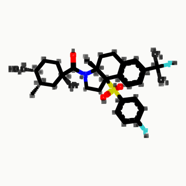 CCC[C@]1(C(=O)N2CC[C@@]3(S(=O)(=O)c4ccc(F)cc4)c4ccc(C(F)(C(F)(F)F)C(F)(F)F)cc4CC[C@@H]23)CC[C@@H](C(=O)O)[C@@H](C)C1